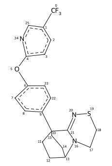 FC(F)(F)c1ccc(Oc2ccc(C34CCC(CC3)N3CCSN=C34)cc2)nc1